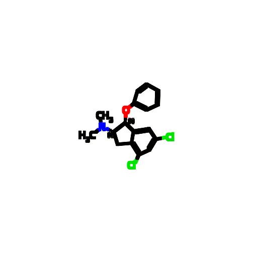 CN(C)[C@H]1Cc2c(Cl)cc(Cl)cc2[C@@H]1Oc1ccccc1